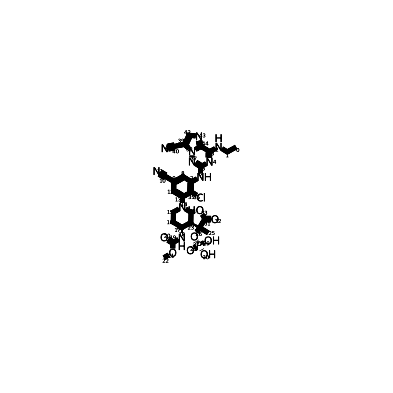 CCNc1nc(Nc2cc(C#N)cc(N3CC[C@@H](NC(=O)OC)[C@H](C(C)(OP(=O)(O)O)C(=O)O)C3)c2Cl)nn2c(C#N)cnc12